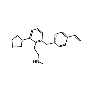 C=Cc1ccc(Cc2cccc(N3CCCC3)c2CCNC)cc1